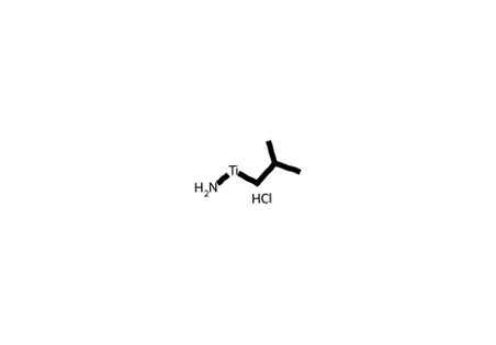 CC(C)[CH2][Ti][NH2].Cl